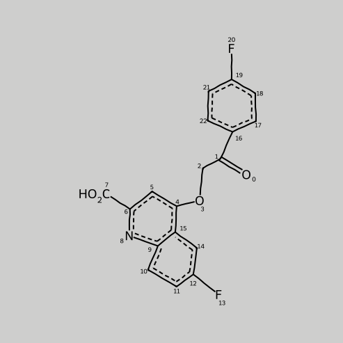 O=C(COc1cc(C(=O)O)nc2ccc(F)cc12)c1ccc(F)cc1